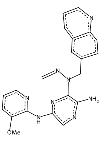 C=NN(Cc1ccc2ncccc2c1)c1nc(Nc2ncccc2OC)cnc1N